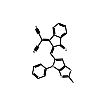 Cc1nc2c(cc(/C=C3\C(=O)c4ccccc4C3=C(C#N)C#N)n2-c2ccccc2)s1